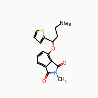 CNCCC(Oc1cccc2c1C(=O)N(C)C2=O)c1cccs1